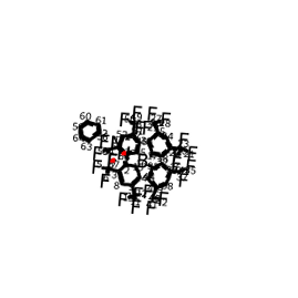 [N-]=[N+]=C1C(C(F)(F)F)=CC(C(F)(F)F)=CC1[B-](c1cc(C(F)(F)F)cc(C(F)(F)F)c1)(c1cc(C(F)(F)F)cc(C(F)(F)F)c1)c1cc(C(F)(F)F)cc(C(F)(F)F)c1.c1ccccc1